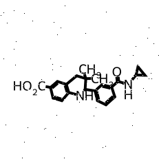 CC1(C)Cc2cc(C(=O)O)ccc2NC1c1cccc(C(=O)NC2CC2)c1